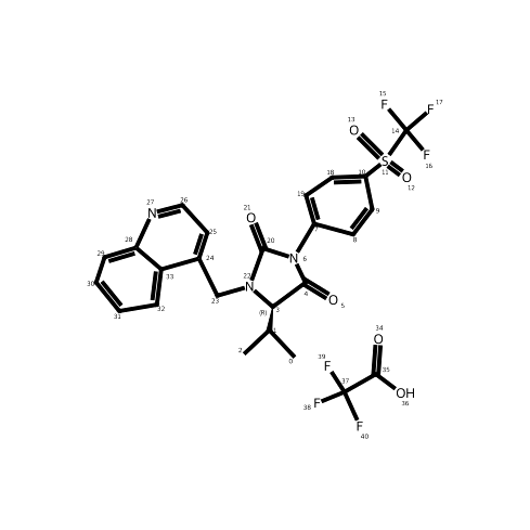 CC(C)[C@@H]1C(=O)N(c2ccc(S(=O)(=O)C(F)(F)F)cc2)C(=O)N1Cc1ccnc2ccccc12.O=C(O)C(F)(F)F